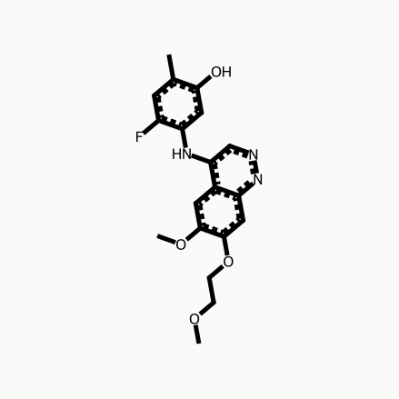 COCCOc1cc2nncc(Nc3cc(O)c(C)cc3F)c2cc1OC